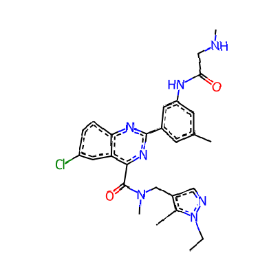 CCn1ncc(CN(C)C(=O)c2nc(-c3cc(C)cc(NC(=O)CNC)c3)nc3ccc(Cl)cc23)c1C